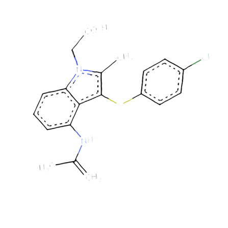 C=C(C)Nc1cccc2c1c(Sc1ccc(Cl)cc1)c(C)n2CC(=O)O